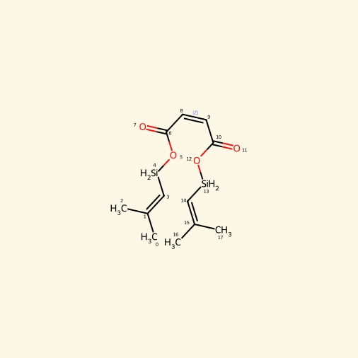 CC(C)=C[SiH2]OC(=O)/C=C\C(=O)O[SiH2]C=C(C)C